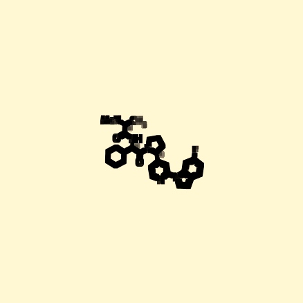 CN[C@@H](C)C(=O)N[C@H](C(=O)N1CCC[C@H]1c1ccnc(-n2ccc3ccc(F)cc32)c1)C1CCCCC1